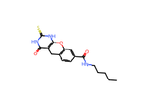 CCCCCNC(=O)c1ccc2c(c1)Oc1[nH]c(=S)[nH]c(=O)c1C2